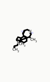 C=CCN1C2=C3CC1C(C)C1(C)/C=N\C/C=C\C3=C1CC2